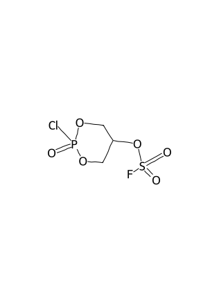 O=P1(Cl)OCC(OS(=O)(=O)F)CO1